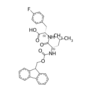 CC(C)C[C@H](NC(=O)OCC1c2ccccc2-c2ccccc21)C(=O)N[C@@H](Cc1ccc(F)cc1)C(=O)O